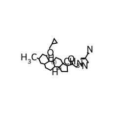 CC1CC2CCC3[C@H](CCC4(C)C(C(=O)Cn5cc(C#N)cn5)CC[C@@H]34)C2C(OCC2CC2)C1